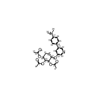 CC(=O)O[C@@H]1[C@@H](OC(C)=O)[C@H](OC(C)=O)CS[C@H]1Oc1cncc(-c2ccc(N(C)C)cc2)c1